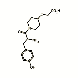 NC(Cc1ccc(O)cc1)C(=O)N1CCC(OCC(=O)O)CC1